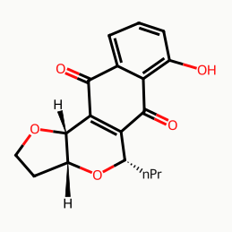 CCC[C@@H]1O[C@@H]2CCO[C@@H]2C2=C1C(=O)c1c(O)cccc1C2=O